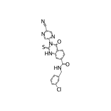 N#Cc1cnc(-n2c(=S)[nH]c3cc(C(=O)NCc4cccc(Cl)c4)ccc3c2=O)cn1